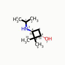 CC(C)N[C@H]1C[C@H](O)C1(C)C